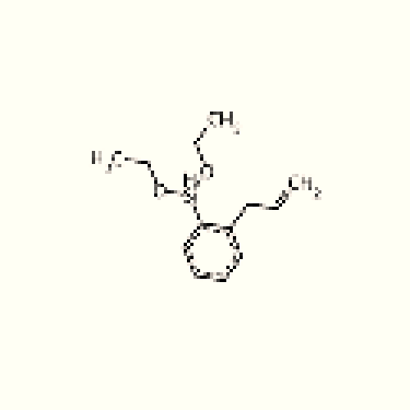 C=CCc1ccccc1[SiH](OCC)OCC